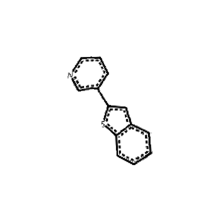 [c]1cccc2sc(-c3cccnc3)cc12